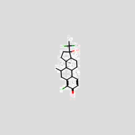 CC1CC2=C(Cl)C(=O)C=C[C@]2(C)[C@@H]2CC[C@@]3(C)[C@@H](CCC3(O)C(F)(F)C(F)(F)F)[C@H]12